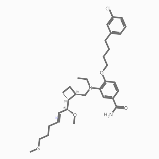 CCN(C[C@@H]1CC[C@H]1[C@H](/C=C/CCCSC)OC)c1cc(C(N)=O)ccc1OCCCCc1cccc(Cl)c1